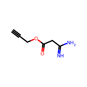 C#CCOC(=O)CC(=N)N